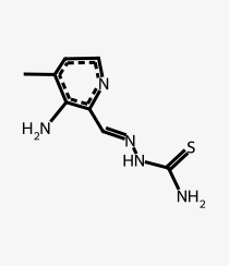 Cc1ccnc(C=NNC(N)=S)c1N